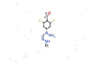 CCN/N=C\N(N)c1cc(F)c([C@H]2CO2)c(F)c1